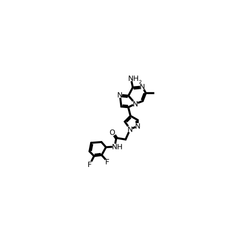 Cc1cn2c(-c3cnn(CC(=O)NC4CC=CC(F)=C4F)c3)cnc2c(N)n1